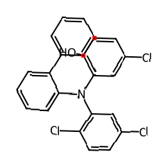 Oc1ccc(Cl)cc1N(c1cc(Cl)ccc1Cl)c1ccccc1-c1ccccc1